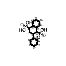 O=P(O)(O)C1CC(c2ccccc2)C(P(=O)(O)O)c2ccccc21